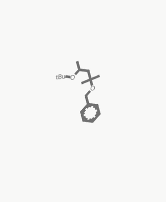 CC(CC(C)(C)OCc1ccccc1)OC(C)(C)C